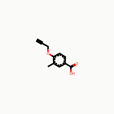 C#CCOc1ccc(C(=O)O)cc1C